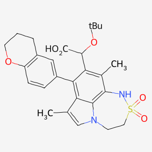 Cc1c(C(OC(C)(C)C)C(=O)O)c(-c2ccc3c(c2)CCCO3)c2c(C)cn3c2c1NS(=O)(=O)CC3